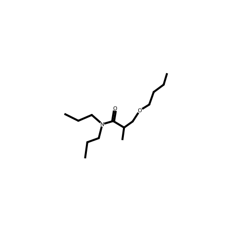 CCCCOCC(C)C(=O)N(CCC)CCC